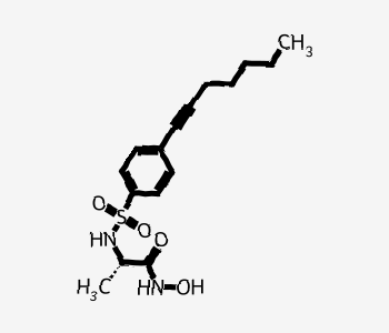 CCCCCC#Cc1ccc(S(=O)(=O)N[C@@H](C)C(=O)NO)cc1